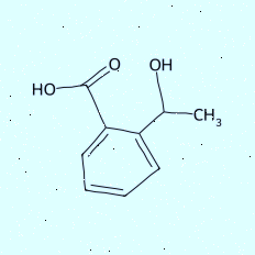 CC(O)c1ccccc1C(=O)O